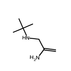 C=C(N)CNC(C)(C)C